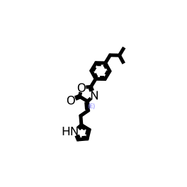 CC(C)Cc1ccc(C2=N/C(=C/Cc3ccc[nH]3)C(=O)O2)cc1